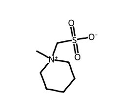 C[N+]1(CS(=O)(=O)[O-])CCCCC1